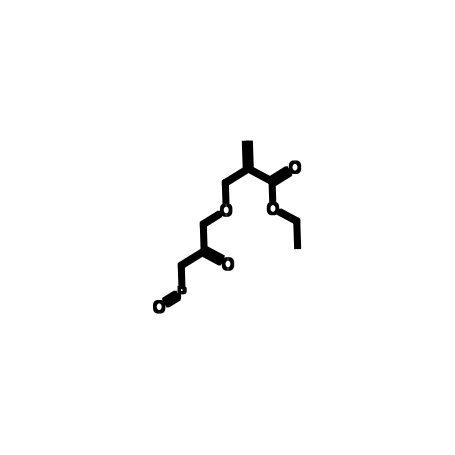 C=C(COCC(=O)CP=O)C(=O)OCC